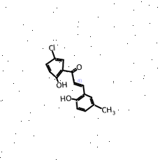 Cc1ccc(O)c(/C=C/C(=O)c2cc(Cl)ccc2O)c1